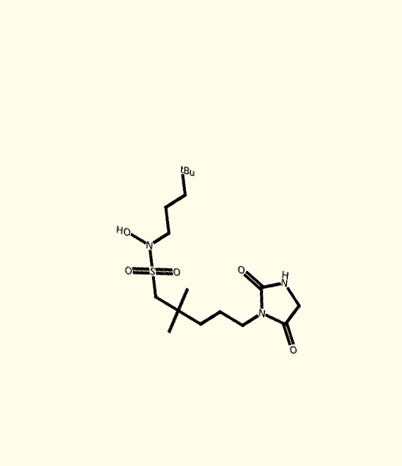 CC(C)(C)CCCN(O)S(=O)(=O)CC(C)(C)CCCN1C(=O)CNC1=O